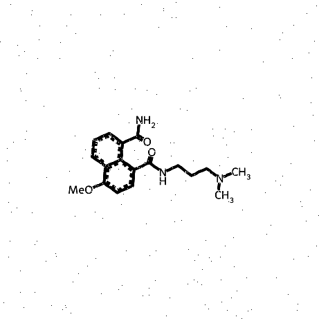 COc1ccc(C(=O)NCCCN(C)C)c2c(C(N)=O)cccc12